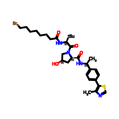 Cc1ncsc1-c1ccc([C@H](C)NC(=O)[C@@H]2C[C@@H](O)CN2C(=O)[C@@H](NC(=O)CCCCCCCBr)C(C)(C)C)cc1